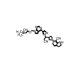 C[Si](C)(C)CCOCn1ccc2c(-c3cnn(C(CC#N)C4CCN(N5CC=C6CCNC6=C5C#N)C4)c3)ncnc21